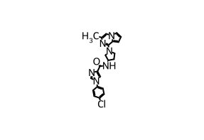 Cc1cn2cccc2c(N2CC[C@H](NC(=O)c3cn(-c4ccc(Cl)cc4)cn3)C2)n1